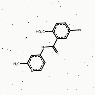 Cc1cc(NC(=O)c2cc(Br)ccc2C(=O)O)ccn1